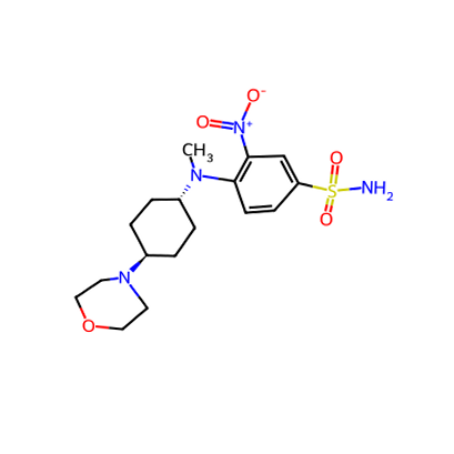 CN(c1ccc(S(N)(=O)=O)cc1[N+](=O)[O-])[C@H]1CC[C@H](N2CCOCC2)CC1